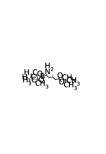 CC(C)(C)OC(=O)C[CH]CC(N)B1OC(C)(C)C(C)(C)O1